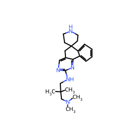 CN(C)CC(C)(C)CNc1ncc2c(n1)-c1ccccc1C1(CCNCC1)C2